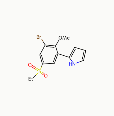 CCS(=O)(=O)c1cc(Br)c(OC)c(-c2ccc[nH]2)c1